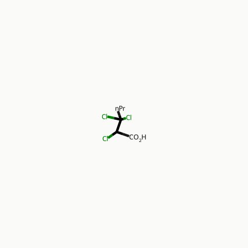 CCCC(Cl)(Cl)C(Cl)C(=O)O